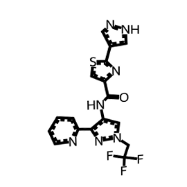 O=C(Nc1cn(CC(F)(F)F)nc1-c1ccccn1)c1csc(-c2cn[nH]c2)n1